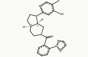 N#Cc1cc(N2CC[C@@H]3CCN(C(=O)c4ccccc4-n4nccn4)C[C@@H]32)ncc1F